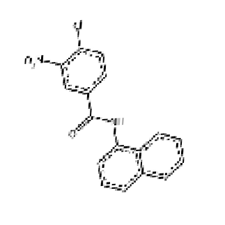 O=C(Nc1cccc2ccccc12)c1ccc(Cl)c([N+](=O)[O-])c1